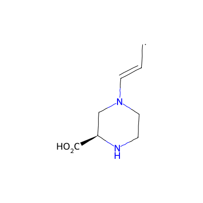 [CH2]C=CN1CCN[C@@H](C(=O)O)C1